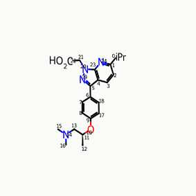 CC(C)c1ccc2c(-c3ccc(O[C@@H](C)CN(C)C)cc3)nn(CC(=O)O)c2n1